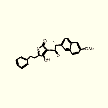 COc1ccc2cc([C@@H](C)C(=O)C3=C(O)C(CCc4ccccc4)=NC3=O)ccc2c1